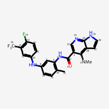 CNc1c(C(=O)Nc2cc(Nc3ccc(F)c(C(F)(F)F)c3)ccc2C)cnc2[nH]ccc12